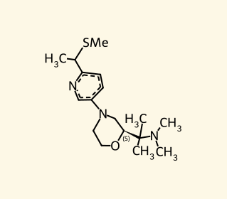 CSC(C)c1ccc(N2CCO[C@H](C(C)(C)N(C)C)C2)cn1